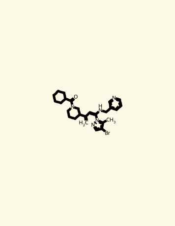 C=C(/C=C(/NCc1cccnc1)n1ncc(Br)c1C)C1CCCN(C(=O)C2CCCCC2)C1